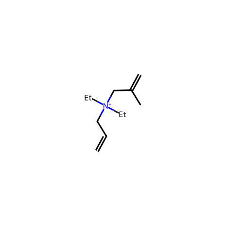 C=CC[N+](CC)(CC)CC(=C)C